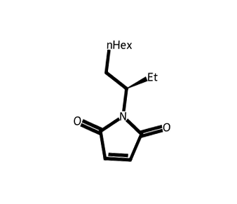 CCCCCCC[C@@H](CC)N1C(=O)C=CC1=O